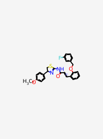 COc1ccc(C2CSC(NC(=O)/C=C/c3ccccc3OCc3cccc(F)c3)=N2)cc1